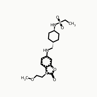 CCS(=O)(=O)N[C@H]1CC[C@H](CNc2ccc3c(c2)oc(=O)n3CCOC)CC1